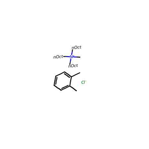 CCCCCCCC[N+](C)(CCCCCCCC)CCCCCCCC.Cc1ccccc1C.[Cl-]